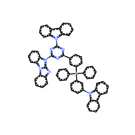 c1ccc([Si](c2ccccc2)(c2cccc(-c3nc(-n4c5ccccc5c5ccccc54)nc(-n4c5ccccc5n5c6ccccc6nc45)n3)c2)c2cccc(-n3c4ccccc4c4ccccc43)c2)cc1